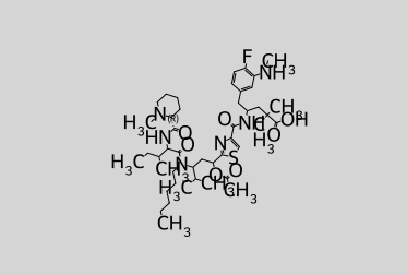 CCCCCCN(C(=O)C(NC(=O)[C@H]1CCCCN1C)C(C)CC)C(CC(OC(C)=O)c1nc(C(=O)NC(Cc2ccc(F)c(NC)c2)CC(C)(C)C(=O)O)cs1)C(C)C